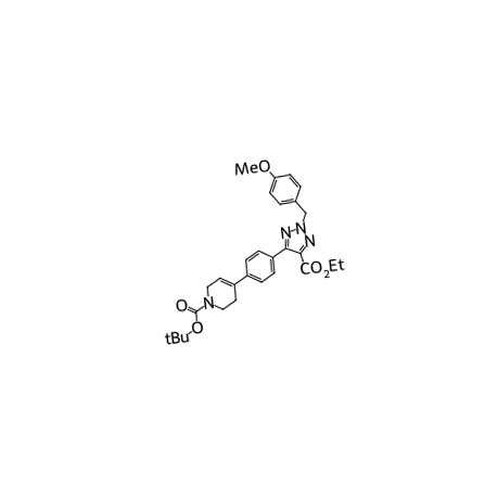 CCOC(=O)c1nn(Cc2ccc(OC)cc2)nc1-c1ccc(C2=CCN(C(=O)OC(C)(C)C)CC2)cc1